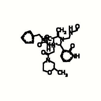 C=C1C(C)[N+](CC(=O)N2CCOC(C)C2)(NS(=O)(=O)Cc2ccccc2)C(c2ccc[nH]c2=O)N1CNC=O